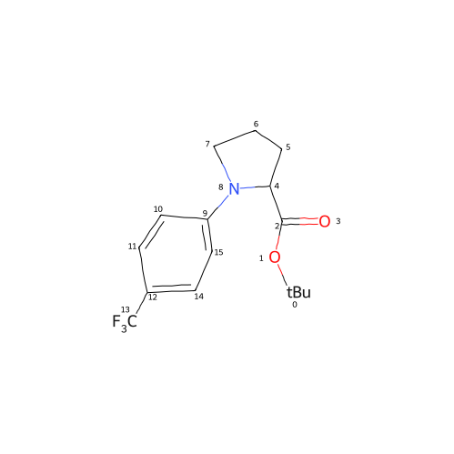 CC(C)(C)OC(=O)C1CCCN1c1ccc(C(F)(F)F)cc1